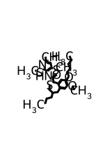 CCCCCOc1cc2c(cc1OC)CC(CCCC)CSC2C(=O)Nc1c(SC)cc(C)nc1SC